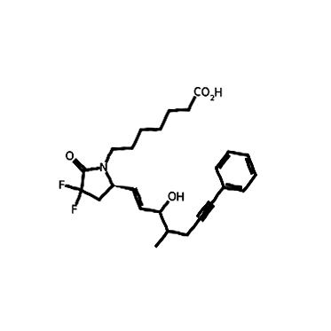 CC(CC#Cc1ccccc1)C(O)/C=C/[C@H]1CC(F)(F)C(=O)N1CCCCCCC(=O)O